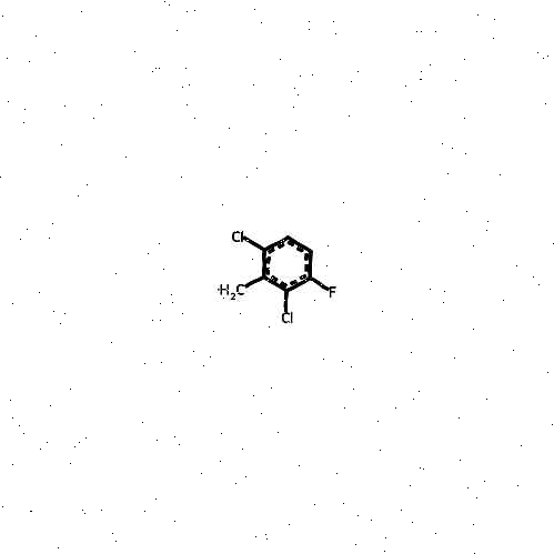 [CH2]c1c(Cl)ccc(F)c1Cl